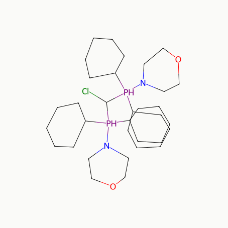 ClC([PH](C1CCCCC1)(C1CCCCC1)N1CCOCC1)[PH](C1CCCCC1)(C1CCCCC1)N1CCOCC1